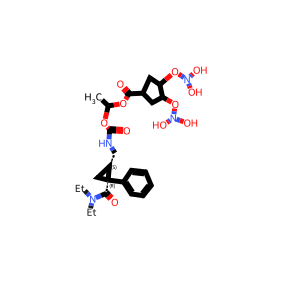 CCN(CC)C(=O)[C@]1(c2ccccc2)C[C@@H]1CNC(=O)OC(C)OC(=O)C1CC(ON(O)O)C(ON(O)O)C1